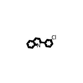 Clc1cccc(-c2ccc3ccccc3n2)c1